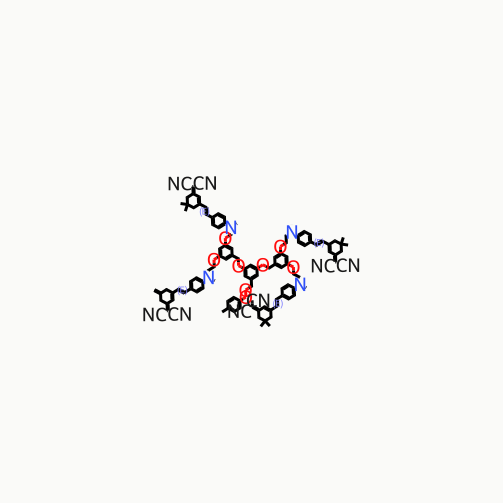 C=C1CC(/C=C/c2ccc(N(C)CCOc3cc(COc4cc(COOc5ccc(C)cc5)cc(OCc5cc(OCCN(C)c6ccc(/C=C/C7=CC(=C(C#N)C#N)CC(C)(C)C7)cc6)cc(OCCN(C)c6ccc(/C=C/C7=CC(=C(C#N)C#N)CC(C)(C)C7)cc6)c5)c4)cc(OCN(C)c4ccc(/C=C/C5=CC(=C(C#N)C#N)CC(C)(C)C5)cc4)c3)cc2)=CC(=C(C#N)C#N)C1